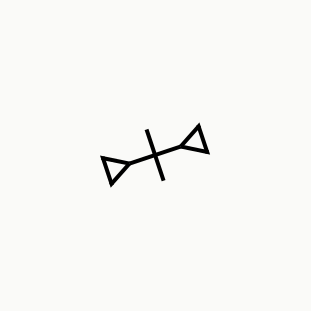 CC(C)(C1CC1)C1CC1